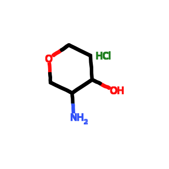 Cl.NC1COCCC1O